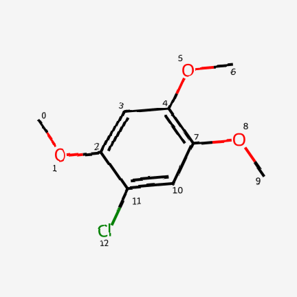 COc1cc(OC)c(OC)cc1Cl